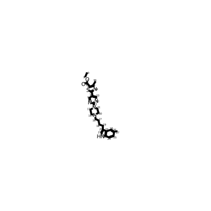 CCOC(=O)c1sc(-c2cnc(N3CCN(CCCCc4c[nH]c5ccc(C)cc45)CC3)nc2)nc1C